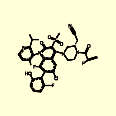 C=C(F)C(=O)N1CCN(c2c(S(C)(=O)=O)c(=O)n(-c3c(C)ccnc3C(C)C)c3c(F)c(-c4c(O)cccc4F)c(Cl)cc23)C[C@@H]1CC#N